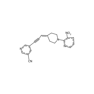 N#Cc1cncc(C#CC=C2CCN(c3ncccc3[N+](=O)[O-])CC2)c1